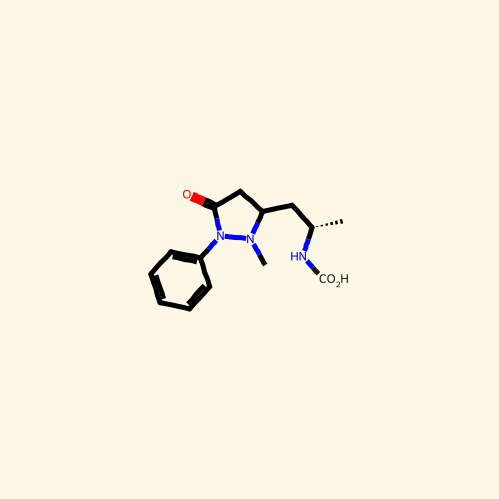 C[C@@H](CC1CC(=O)N(c2ccccc2)N1C)NC(=O)O